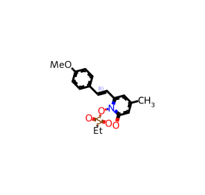 CCS(=O)(=O)On1c(/C=C/c2ccc(OC)cc2)cc(C)cc1=O